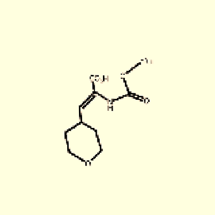 CC(C)(C)OC(=O)NC(=CC1CCOCC1)C(=O)O